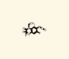 CCN1C(=O)C(F)(F)Oc2cc(F)c(N=C=O)cc21